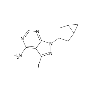 Nc1ncnc2c1c(I)nn2C1CC2CC2C1